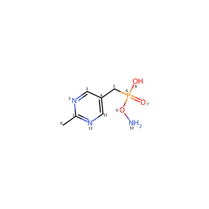 Cc1ncc(CP(=O)(O)ON)cn1